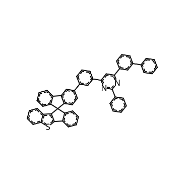 c1ccc(-c2cccc(-c3cc(-c4cccc(-c5ccc6c(c5)-c5ccccc5C65c6ccccc6-c6sc7ccccc7c65)c4)nc(-c4ccccc4)n3)c2)cc1